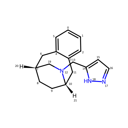 c1ccc2c(c1)C[C@H]1CC[C@@H](C2)N(Cc2ccn[nH]2)C1